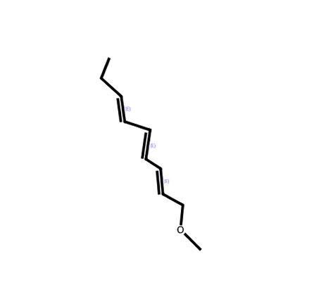 CC/C=C/C=C/C=C/COC